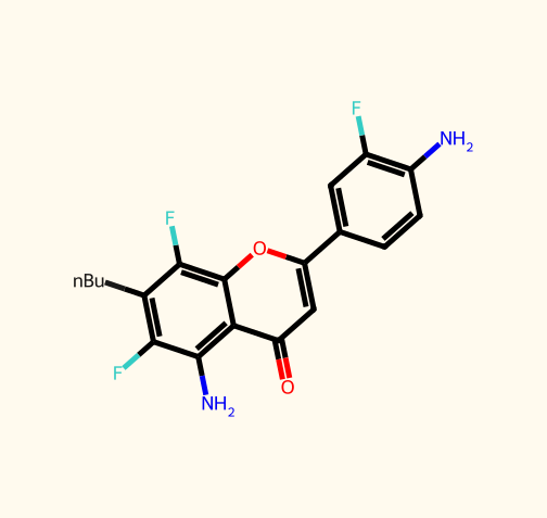 CCCCc1c(F)c(N)c2c(=O)cc(-c3ccc(N)c(F)c3)oc2c1F